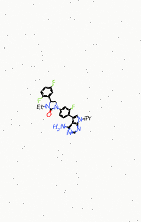 CCN1C(=O)N(c2ccc(-c3cn(C(C)C)c4ncnc(N)c34)c(F)c2)CC1c1cc(F)ccc1F